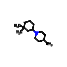 CC1CCN(C2CC[CH]C(C)(C)C2)CC1